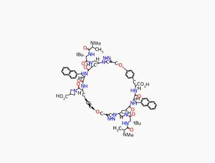 CN[C@@H](C)C(=O)N[C@H](C(=O)N1C[C@@H]2C[C@H]1C(=O)N[C@@H](Cc1ccc3ccccc3c1)C(=O)N[C@H](C(=O)O)Cc1ccc(cc1)OCc1cn(nn1)[C@H]1C[C@@H](C(=O)N[C@@H](Cc3ccc4ccccc4c3)C(=O)N[C@H](C(=O)N3CC(C(=O)O)C3)Cc3ccc(cc3)OCc3cn2nn3)N(C(=O)[C@@H](NC(=O)[C@H](C)NC)C(C)(C)C)C1)C(C)(C)C